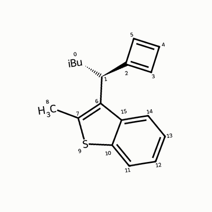 CC[C@@H](C)[C@@H](C1=CC=C1)c1c(C)sc2ccccc12